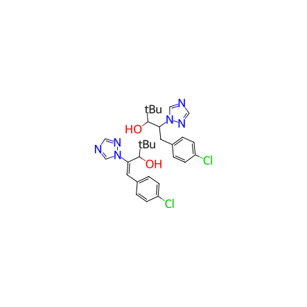 CC(C)(C)C(O)/C(=C\c1ccc(Cl)cc1)n1cncn1.CC(C)(C)C(O)C(Cc1ccc(Cl)cc1)n1cncn1